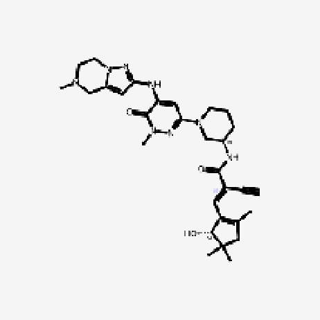 C#C/C(=C\C1=C(C)CC(C)(C)[C@@H]1O)C(=O)N[C@@H]1CCCN(c2cc(Nc3cc4n(n3)CCN(C)C4)c(=O)n(C)n2)C1